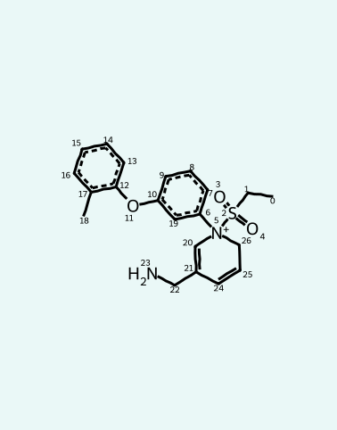 CCS(=O)(=O)[N+]1(c2cccc(Oc3ccccc3C)c2)C=C(CN)C=CC1